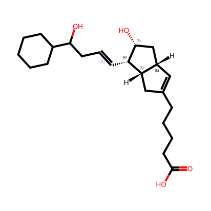 O=C(O)CCCCC1=C[C@H]2C[C@@H](O)[C@@H](/C=C/CC(O)C3CCCCC3)[C@H]2C1